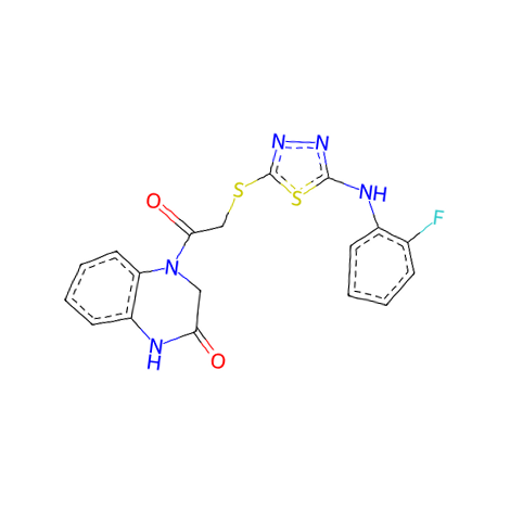 O=C1CN(C(=O)CSc2nnc(Nc3ccccc3F)s2)c2ccccc2N1